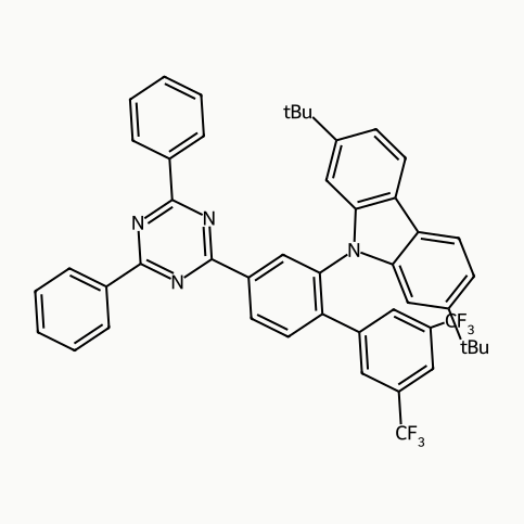 CC(C)(C)c1ccc2c3ccc(C(C)(C)C)cc3n(-c3cc(-c4nc(-c5ccccc5)nc(-c5ccccc5)n4)ccc3-c3cc(C(F)(F)F)cc(C(F)(F)F)c3)c2c1